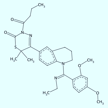 CCCC(=O)N1N=C(c2ccc3c(c2)CCCN3C(=NCC)c2ccc(OC)cc2OC)C(C)(C)SC1=O